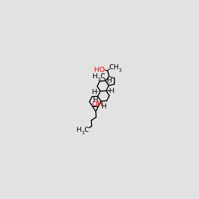 CCCCC1C2[C@H]3CC[C@@H]4[C@H](CC[C@]5(C)[C@@H]([C@H](C)O)CC[C@@H]45)[C@H]3CC[C@]12O